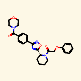 O=C(c1ccc(-c2noc([C@H]3CCCCN3C(=O)COc3ccccc3)n2)cc1)N1CCOCC1